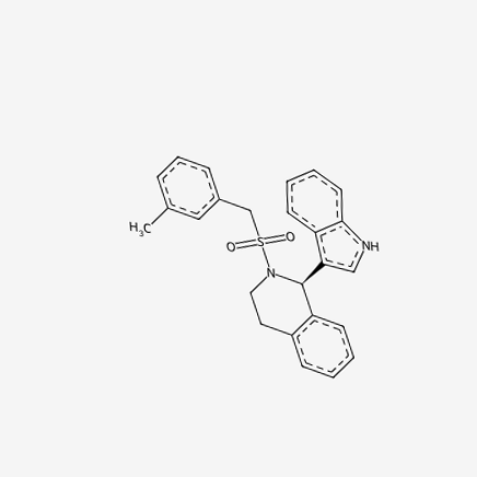 Cc1cccc(CS(=O)(=O)N2CCc3ccccc3[C@@H]2c2c[nH]c3ccccc23)c1